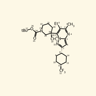 CCc1c(C)nc2cc([C@H]3CC[C@H](C(F)(F)F)CC3)nn2c1[C@@]1(C)CCCN(C(=O)OC(C)(C)C)C1